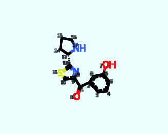 O=C(c1cccc(O)c1)c1csc([C@@H]2CCCN2)n1